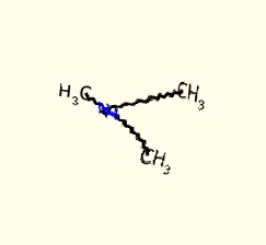 CCCCCCCCCCCCCCCC1N(CCCCC)C=CN1CCCCCCCCCCCC